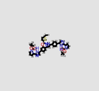 CCc1ccc([C@@H]2Oc3cc(-c4cnc(-c5cccn5C(=O)OC(C)(C)C)[nH]4)ccc3-c3cc(-c4ccc(-c5cnc(-c6cccn6C(=O)OC(C)(C)C)[nH]5)cc4)nn32)s1